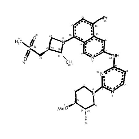 CO[C@H]1CCN(c2nccc(Nc3cc4c(C(C)C)ccc(N5C[C@H](CS(C)(=O)=O)[C@H]5C)c4cn3)n2)C[C@@H]1F